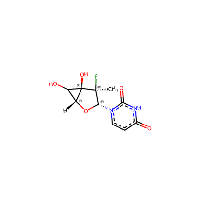 C[C@]1(F)[C@H](n2ccc(=O)[nH]c2=O)O[C@@H]2C(O)[C@@]21O